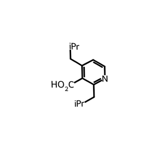 CC(C)Cc1ccnc(CC(C)C)c1C(=O)O